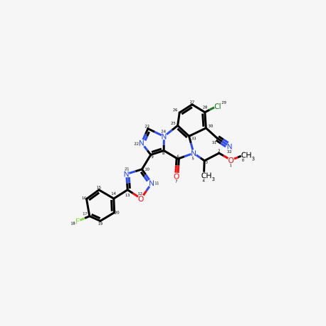 COCC(C)n1c(=O)c2c(-c3noc(-c4ccc(F)cc4)n3)ncn2c2ccc(Cl)c(C#N)c21